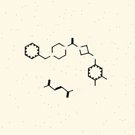 O=C(N1CCN(Cc2ccccc2)CC1)N1CC(Oc2ccc(Cl)c(Cl)c2)C1.O=C(O)C=CC(=O)O